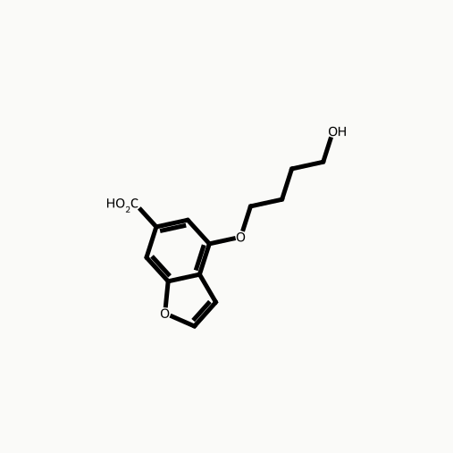 O=C(O)c1cc(OCCCCO)c2ccoc2c1